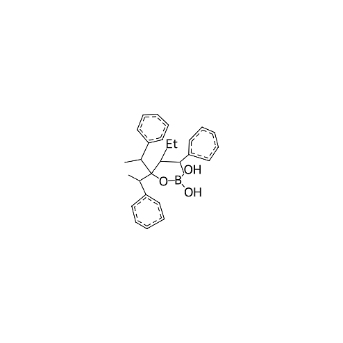 CCC(C(C)c1ccccc1)C(OB(O)O)(C(C)c1ccccc1)C(C)c1ccccc1